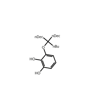 CCCCCCCCCCC(CCCC)(CCCCCCCCCC)Oc1cccc(O)c1O